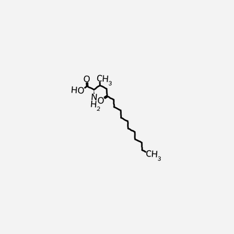 CCCCCCCCCCCC(=O)CC(C)[C@H](N)C(=O)O